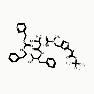 CC(C)[C@H](NC(=O)N(C)Cc1csc(NC(=O)OC(C)(C)C)n1)C(=O)N[C@@H](Cc1ccccc1)[C@@H](O)C[C@H](Cc1ccccc1)NC(=O)OCc1cccnc1